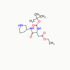 CCOC(=O)CC(NC(=O)OC(C)(C)C)C(=O)NC1CCCNC1